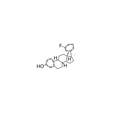 C[C@]12CC[C@@H]3c4ccc(O)cc4CC[C@H]3[C@@H]1CC[C@]2(C)c1cccc(F)c1